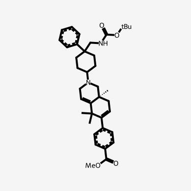 COC(=O)c1ccc(C2=CC[C@]3(C)CN(C4CCC(CNC(=O)OC(C)(C)C)(c5ccccc5)CC4)CC=C3C2(C)C)cc1